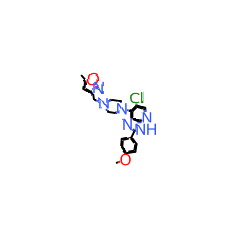 COc1ccc(-c2nc3c(N4CCN(Cc5cc(C)on5)CC4)c(Cl)cnc3[nH]2)cc1